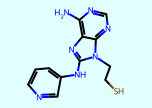 Nc1ncnc2c1nc(Nc1cccnc1)n2CCS